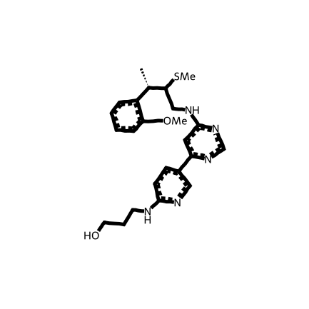 COc1ccccc1[C@H](C)C(CNc1cc(-c2ccc(NCCCO)nc2)ncn1)SC